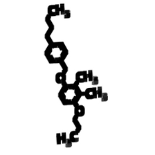 CCCCc1ccc(COc2ccc(OCCC)c(C)c2C)cc1